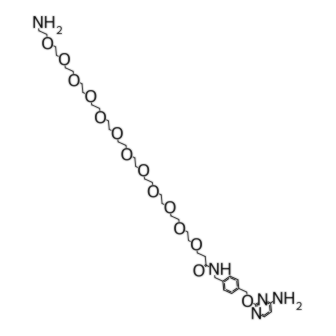 NCCOCCOCCOCCOCCOCCOCCOCCOCCOCCOCCOCCOCCC(=O)NCc1ccc(COc2nccc(N)n2)cc1